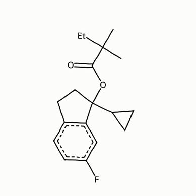 CCC(C)(C)C(=O)OC1(C2CC2)CCc2ccc(F)cc21